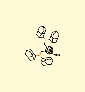 CC(C)(C)[C]12[CH]3[C]4(CP(C5C6CC7CC(C6)CC5C7)C5C6CC7CC(C6)CC5C7)[C]5(CP(C6C7CC8CC(C7)CC6C8)C6C7CC8CC(C7)CC6C8)[CH]1[Fe]34521678[CH]2[CH]1[CH]6[CH]7[CH]28